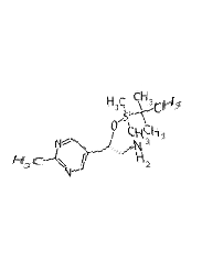 Cc1ncc([C@@H](CN)O[Si](C)(C)C(C)(C)C)cn1